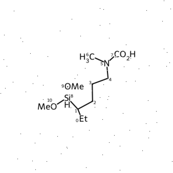 CCC(CCCN(C)C(=O)O)[SiH](OC)OC